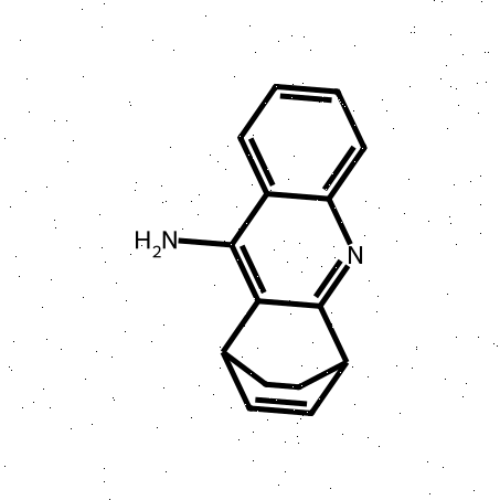 Nc1c2c(nc3ccccc13)C1C=CC2CC1